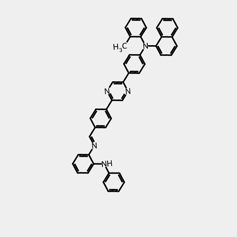 Cc1ccccc1N(c1ccc(-c2cnc(-c3ccc(/C=N/c4ccccc4Nc4ccccc4)cc3)cn2)cc1)c1cccc2ccccc12